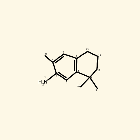 Cc1cc2c(cc1N)C(C)(C)CCC2